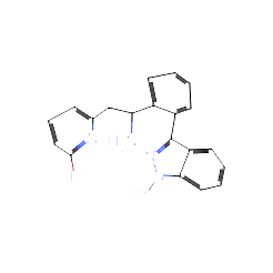 CC(C)n1nc(-c2ccccc2C(N)Cc2cccc(Br)n2)c2ccccc21